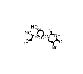 C=CC(C#N)[C@H]1O[C@@H](n2cc(Br)c(=O)[nH]c2=O)C[C@@H]1O